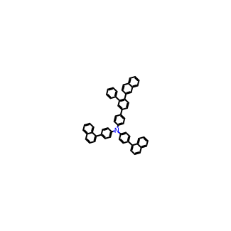 c1ccc(-c2cc(-c3ccc(N(c4ccc(-c5cccc6ccccc56)cc4)c4ccc(-c5cccc6ccccc56)cc4)cc3)ccc2-c2ccc3ccccc3c2)cc1